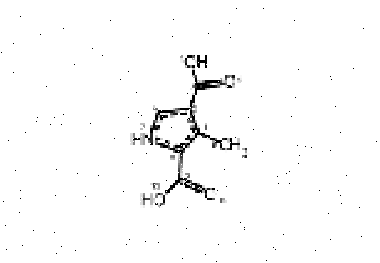 Cc1c(C(=O)O)c[nH]c1C(=O)O